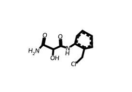 NC(=O)C(O)C(=O)Nc1ccccc1CCl